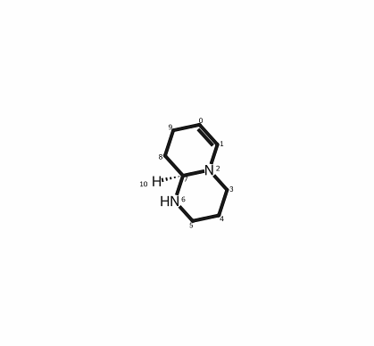 C1=CN2CCCN[C@H]2CC1